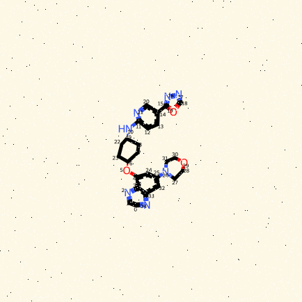 c1cnc2c(O[C@H]3CC[C@@H](Nc4ccc(-c5nnco5)cn4)CC3)cc(N3CCOCC3)cc2n1